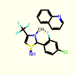 CN1C(C(F)(F)F)=CS(=N)C1c1ccc(Cl)cc1F.c1ccc2ncccc2c1